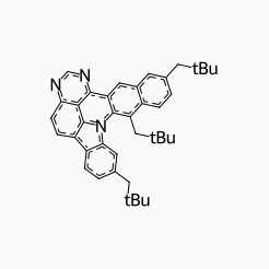 CC(C)(C)Cc1ccc2c(CC(C)(C)C)c3c(cc2c1)c1ncnc2ccc4c5ccc(CC(C)(C)C)cc5n3c4c21